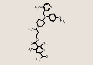 COc1ccc(N(Cc2cnccc2C)C2CCN(C(C)CCNC(=O)c3c(C)cc(C(C)=O)nc3C)CC2)cc1